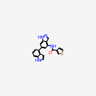 O=C(Nc1cc(-c2cccc3[nH]ccc23)cc2[nH]ncc12)c1ccsc1